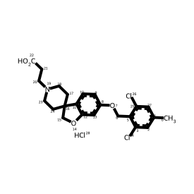 Cc1cc(Cl)c(COc2ccc3c(c2)OCC32CCN(CCC(=O)O)CC2)c(Cl)c1.Cl